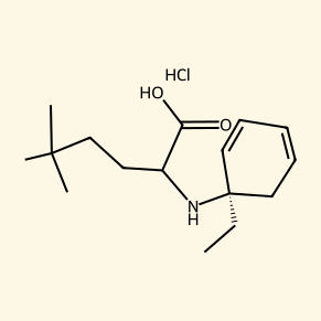 CC[C@]1(NC(CCC(C)(C)C)C(=O)O)C=CC=CC1.Cl